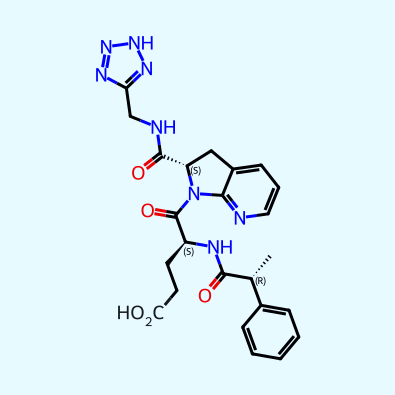 C[C@@H](C(=O)N[C@@H](CCC(=O)O)C(=O)N1c2ncccc2C[C@H]1C(=O)NCc1nn[nH]n1)c1ccccc1